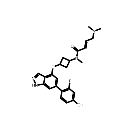 CN(C)C/C=C/C(=O)N(C)C1CC(Oc2cc(-c3ccc(O)cc3F)cc3[nH]ncc23)C1